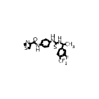 CC(NC(=S)Nc1ccc(NC(=O)c2cscn2)cc1)c1ccc(C(F)(F)F)c(F)c1